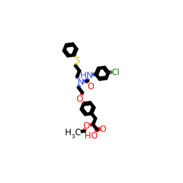 CCOC(Cc1ccc(OCCN(CCCSc2ccccc2)C(=O)Nc2ccc(Cl)cc2)cc1)C(=O)O